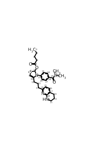 CCCCC(=O)OC1SC=C(CCCc2ccc3c(n2)NCCC3)N1c1ccc(C(=O)N(C)C)cc1